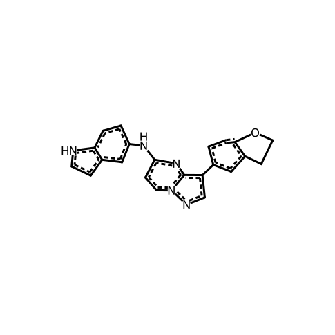 c1cc2cc(Nc3ccn4ncc(-c5ccc6c(c5)CCO6)c4n3)ccc2[nH]1